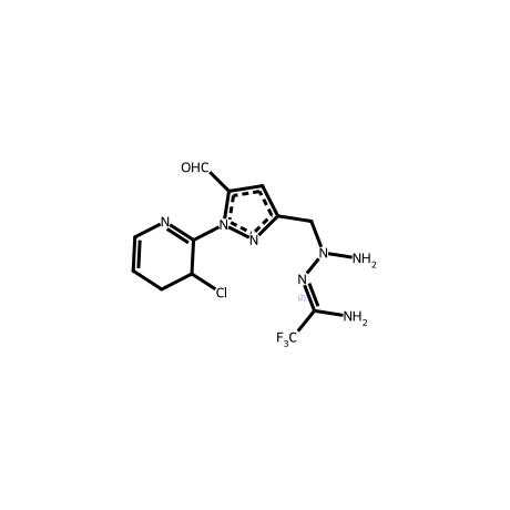 N/C(=N\N(N)Cc1cc(C=O)n(C2=NC=CCC2Cl)n1)C(F)(F)F